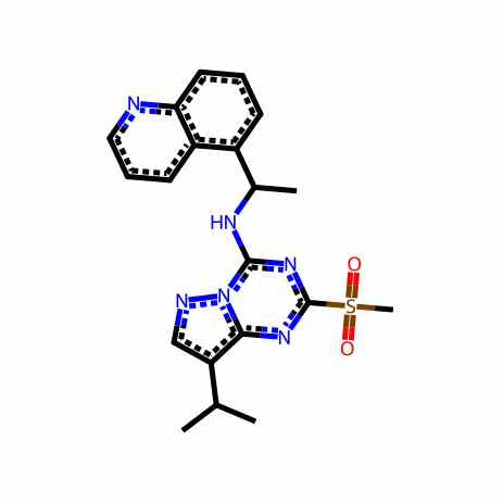 CC(C)c1cnn2c(NC(C)c3cccc4ncccc34)nc(S(C)(=O)=O)nc12